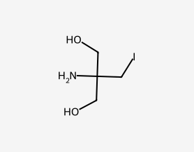 NC(CO)(CO)CI